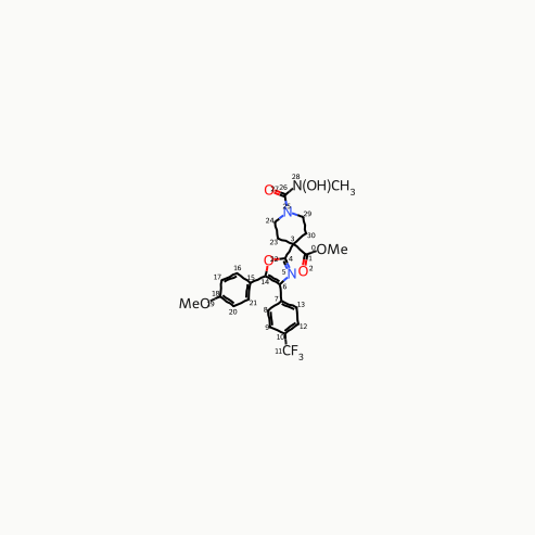 COC(=O)C1(c2nc(-c3ccc(C(F)(F)F)cc3)c(-c3ccc(OC)cc3)o2)CCN(C(=O)N(C)O)CC1